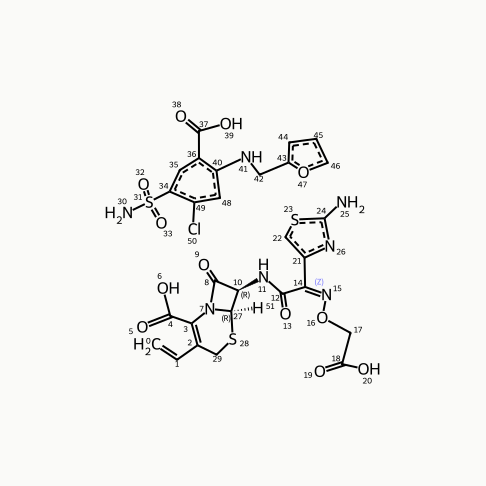 C=CC1=C(C(=O)O)N2C(=O)[C@@H](NC(=O)/C(=N\OCC(=O)O)c3csc(N)n3)[C@H]2SC1.NS(=O)(=O)c1cc(C(=O)O)c(NCc2ccco2)cc1Cl